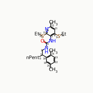 CCCCCC(CNC(=O)Nc1c(SCC)cc(C)nc1SCC)c1cc(C)ccc1C